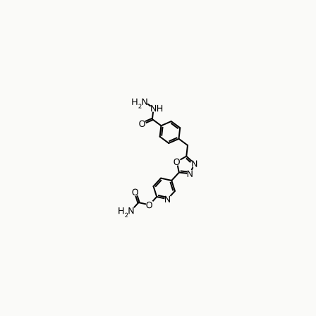 NNC(=O)c1ccc(Cc2nnc(-c3ccc(OC(N)=O)nc3)o2)cc1